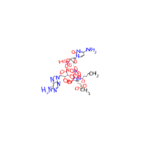 C=CCCC(=O)N[C@H](CCS(C)(=O)=O)C(=O)OC1C(COP(=O)(O)O[C@H]2C[C@H](n3ccc(N)nc3=O)O[C@@H]2COP(=O)(O)O)OC(n2cnc3c(N)ncnc32)C1O